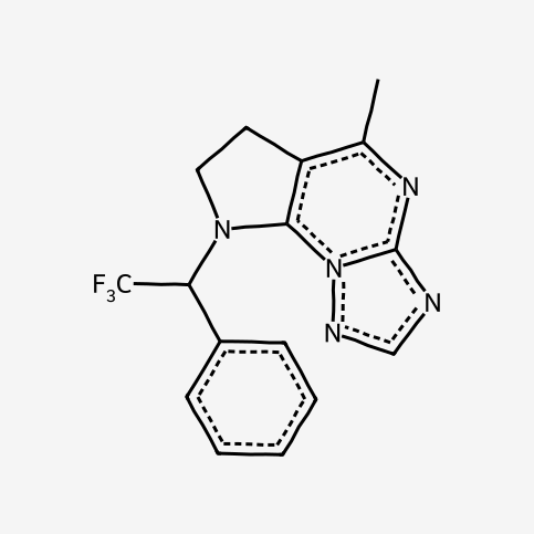 Cc1nc2ncnn2c2c1CCN2C(c1ccccc1)C(F)(F)F